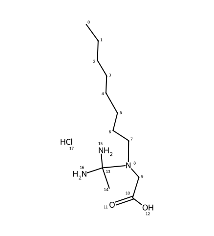 CCCCCCCCN(CC(=O)O)C(C)(N)N.Cl